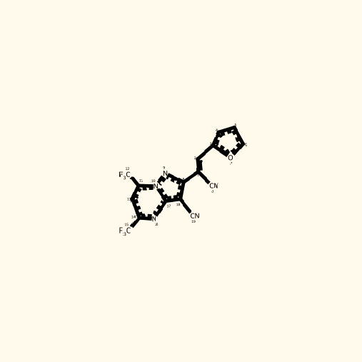 N#CC(=Cc1ccco1)c1nn2c(C(F)(F)F)cc(C(F)(F)F)nc2c1C#N